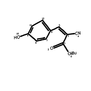 CC(C)COC(=O)C(C#N)=Cc1ccc(O)cc1